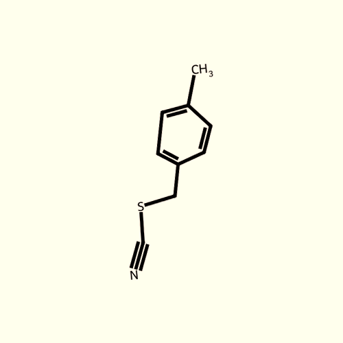 Cc1ccc(CSC#N)cc1